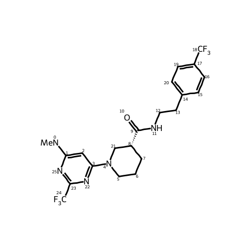 CNc1cc(N2CCC[C@@H](C(=O)NCCc3ccc(C(F)(F)F)cc3)C2)nc(C(F)(F)F)n1